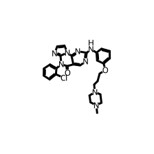 CN1CCN(CCCOc2cccc(Nc3ncc4c(=O)n(-c5ccccc5Cl)c5nccn5c4n3)c2)CC1